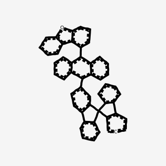 c1ccc2c(c1)-c1ccccc1C21c2ccccc2-c2ccc(-c3c4ccccc4c(-c4cccc5oc6ccccc6c45)c4ccccc34)cc21